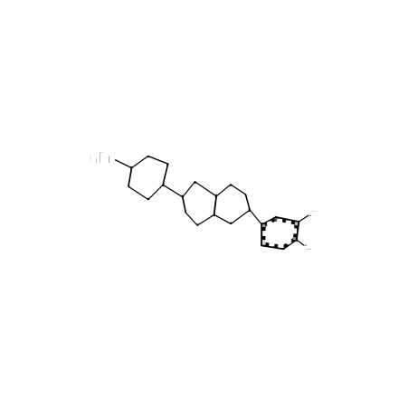 CCCC1CCC(C2CCC3CC(c4ccc(F)c(F)c4)CCC3C2)CC1